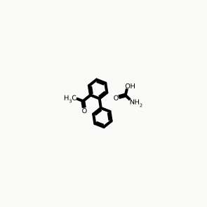 CC(=O)c1ccccc1-c1ccccc1.NC(=O)O